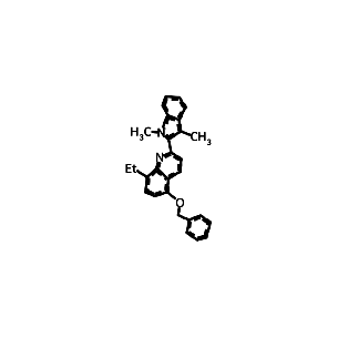 CCc1ccc(OCc2ccccc2)c2ccc(-c3c(C)c4ccccc4n3C)nc12